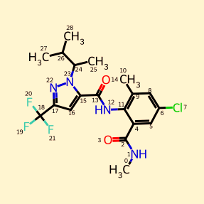 CNC(=O)c1cc(Cl)cc(C)c1NC(=O)c1cc(C(F)(F)F)nn1C(C)C(C)C